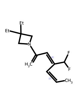 C=C(/C=C(\C=C/C)C(F)F)N1CC(CC)(CC)C1